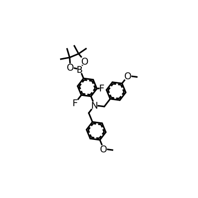 COc1ccc(CN(Cc2ccc(OC)cc2)c2c(F)cc(B3OC(C)(C)C(C)(C)O3)cc2F)cc1